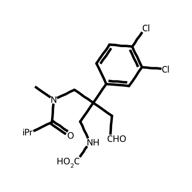 CC(C)C(=O)N(C)CC(CC=O)(CNC(=O)O)c1ccc(Cl)c(Cl)c1